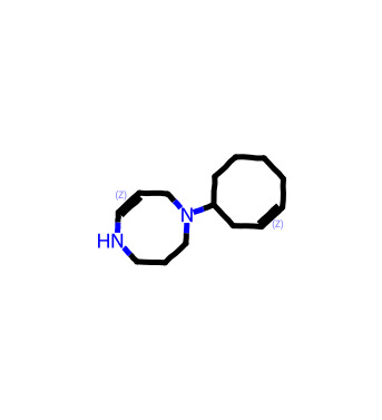 C1=C\CC(N2C/C=C\NCCC2)CCCC/1